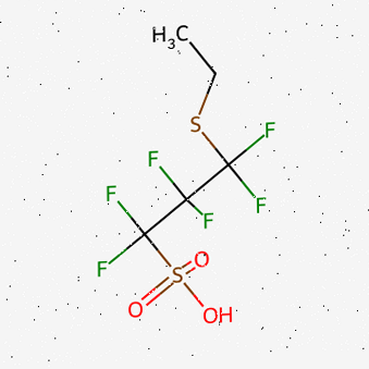 CCSC(F)(F)C(F)(F)C(F)(F)S(=O)(=O)O